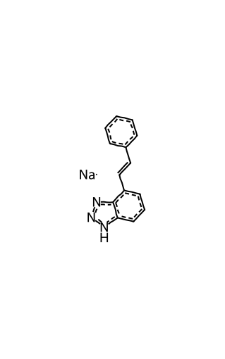 C(=Cc1cccc2[nH]nnc12)c1ccccc1.[Na]